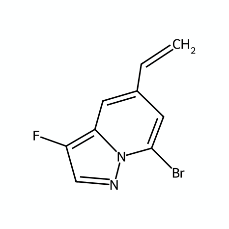 C=Cc1cc(Br)n2ncc(F)c2c1